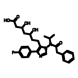 CC(C)N(C(=O)Cc1ccccc1)n1cnc(-c2ccc(F)cc2)c1CCC(O)CC(O)CC(=O)O